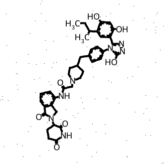 CCC(C)c1cc(-c2nnc(O)n2-c2ccc(CC3CCN(CC(=O)Nc4cccc5c4CN(C4CCC(=O)NC4=O)C5=O)CC3)cc2)c(O)cc1O